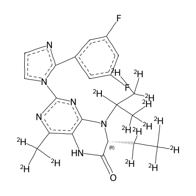 [2H]C([2H])([2H])c1nc(-n2ccnc2-c2cc(F)cc(F)c2)nc2c1NC(=O)[C@@H](C([2H])([2H])C([2H])([2H])[2H])N2C([2H])(C([2H])([2H])[2H])C([2H])([2H])[2H]